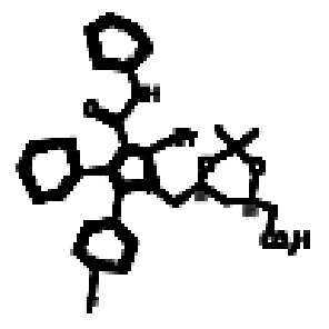 CC(C)c1c(C(=O)Nc2ccccc2)c(-c2ccccc2)c(-c2ccc(F)cc2)n1C[C@@H]1C[C@H](CC(=O)O)OC(C)(C)O1